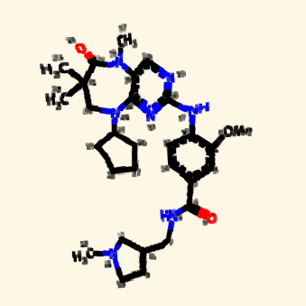 COc1cc(C(=O)NCC2CCN(C)C2)ccc1Nc1ncc2c(n1)N(C1CCCC1)CC(C)(C)C(=O)N2C